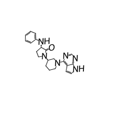 O=C1[C@H](Nc2ccccc2)CCN1[C@@H]1CCCN(c2ncnc3[nH]ccc23)C1